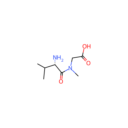 CC(C)[C@H](N)C(=O)N(C)CC(=O)O